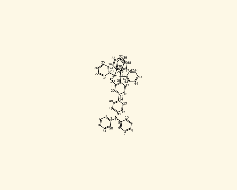 c1ccc(N(c2ccccc2)c2ccc(-c3ccc4c(c3)SC(c3ccccc3)(c3ccccc3)C4(c3ccccc3)c3ccccc3)cc2)cc1